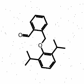 CC(C)c1cccc(C(C)C)c1OCc1ccccc1C=O